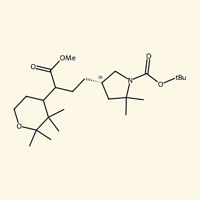 COC(=O)C(CC[C@@H]1CN(C(=O)OC(C)(C)C)C(C)(C)C1)C1CCOC(C)(C)C1(C)C